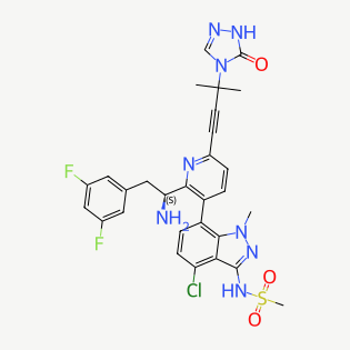 Cn1nc(NS(C)(=O)=O)c2c(Cl)ccc(-c3ccc(C#CC(C)(C)n4cn[nH]c4=O)nc3[C@@H](N)Cc3cc(F)cc(F)c3)c21